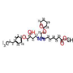 CCCc1ccc(OCC(O)CCNC(CCCCCCC(=O)OC)COC2CCCCO2)cc1